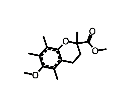 COC(=O)C1(C)CCc2c(C)c(OC)c(C)c(C)c2O1